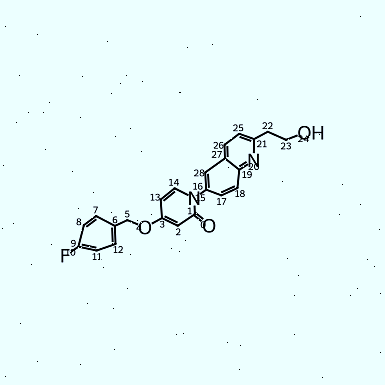 O=c1cc(OCc2ccc(F)cc2)ccn1-c1ccc2nc(CCO)ccc2c1